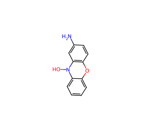 Nc1ccc2c(c1)N(O)c1ccccc1O2